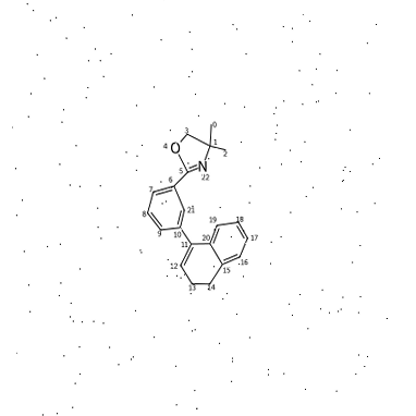 CC1(C)COC(c2cccc(C3=CCCc4ccccc43)c2)=N1